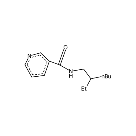 CCCCC(CC)CNC(=O)c1cccnc1